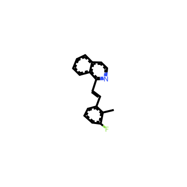 Cc1c(F)cccc1C=Cc1nccc2ccccc12